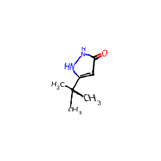 CC(C)(C)c1cc(=O)[nH][nH]1